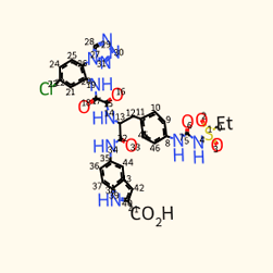 CCS(=O)(=O)NC(=O)Nc1ccc(CC(NC(=O)C(=O)Nc2cc(Cl)ccc2-n2cnnn2)C(=O)Nc2ccc3[nH]c(C(=O)O)cc3c2)cc1